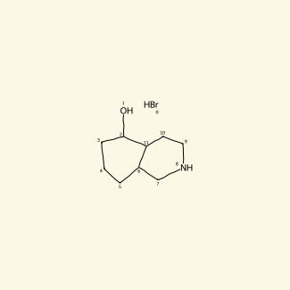 Br.OC1CCCC2CNCCC12